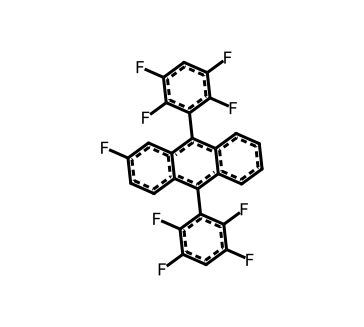 Fc1ccc2c(-c3c(F)c(F)cc(F)c3F)c3ccccc3c(-c3c(F)c(F)cc(F)c3F)c2c1